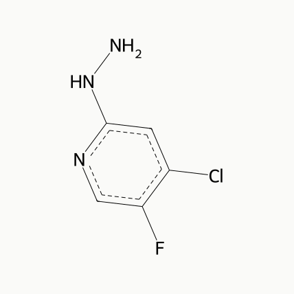 NNc1cc(Cl)c(F)cn1